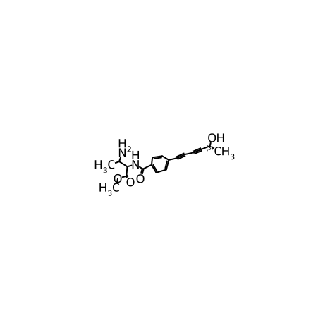 COC(=O)C(NC(=O)c1ccc(C#CC#C[C@H](C)O)cc1)C(C)N